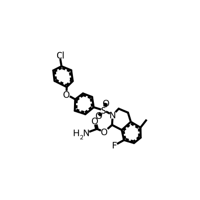 Cc1ccc(F)c2c1CCN(S(=O)(=O)c1ccc(Oc3ccc(Cl)cc3)cc1)C2OC(N)=O